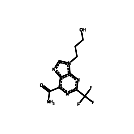 NC(=O)c1nc(C(F)(F)F)nc2c1ncn2CCCO